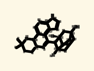 CC1(C)CCN2N=C(C3[C@@H]4CC5C[C@H]3CC(O)(C5)C4)c3c(cnc4[nH]ccc34)B2O1